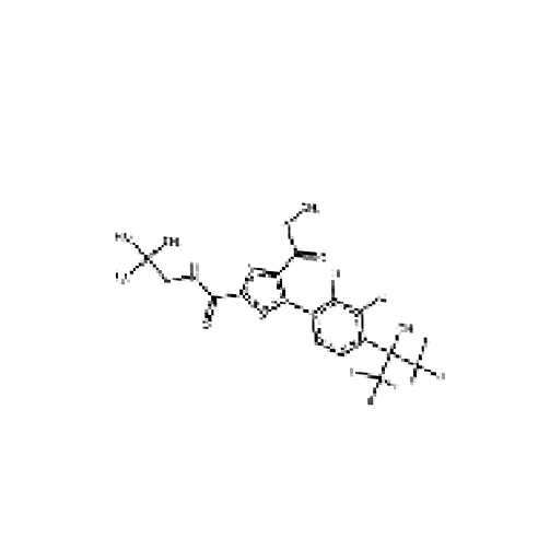 COC(=O)c1nc(C(=O)NCC(C)(C)O)sc1-c1ccc(C(O)(C(F)(F)F)C(F)(F)F)c(Cl)c1Cl